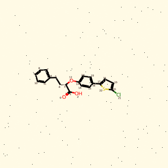 O=C(O)[C@H](CCc1ccccc1)Oc1ccc(-c2ccc(Cl)s2)cc1